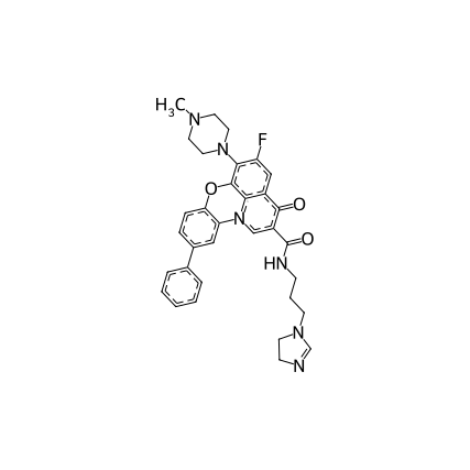 CN1CCN(c2c(F)cc3c(=O)c(C(=O)NCCCN4C=NCC4)cn4c3c2Oc2ccc(-c3ccccc3)cc2-4)CC1